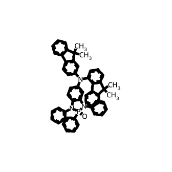 CC1(C)c2ccccc2-c2ccc(N(c3ccc4c(c3)N(c3ccccc3)P(=O)(c3ccccc3)N4c3ccccc3)c3cccc4c3-c3ccccc3C4(C)C)cc21